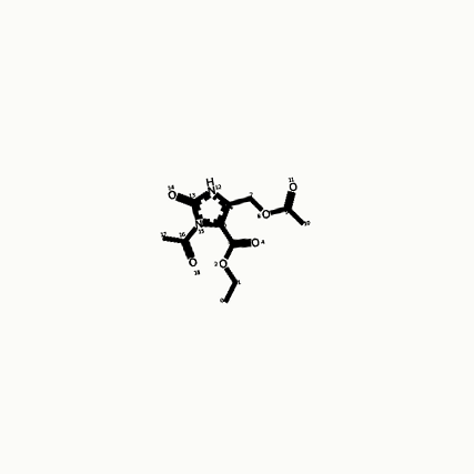 CCOC(=O)c1c(COC(C)=O)[nH]c(=O)n1C(C)=O